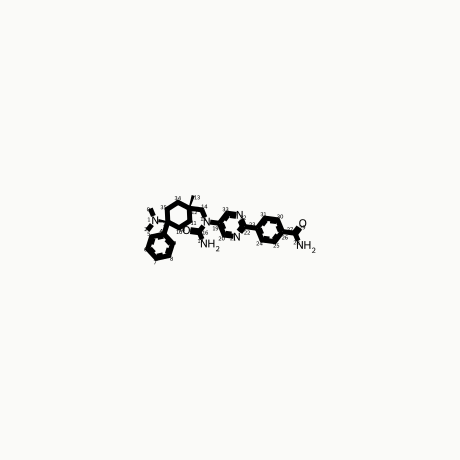 CN(C)[C@]1(c2ccccc2)CC[C@@](C)(CN(C(N)=O)c2cnc(-c3ccc(C(N)=O)cc3)nc2)CC1